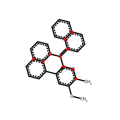 CCOC(=O)/C(=C/c1ccccc1)Cc1ccccc1-c1cc(OC)ccc1P(c1ccccc1)c1ccccc1